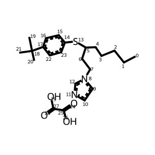 CCCCCC(CCn1ccnc1)Sc1ccc(C(C)(C)C)cc1.O=C(O)C(=O)O